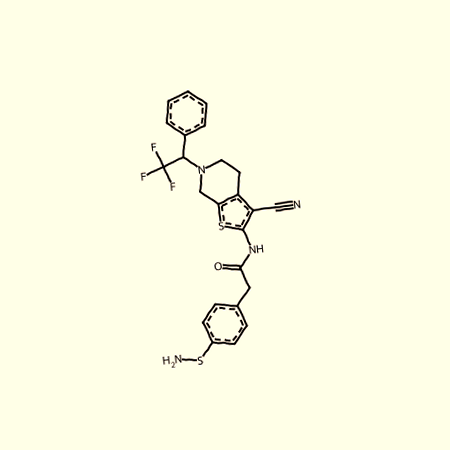 N#Cc1c(NC(=O)Cc2ccc(SN)cc2)sc2c1CCN(C(c1ccccc1)C(F)(F)F)C2